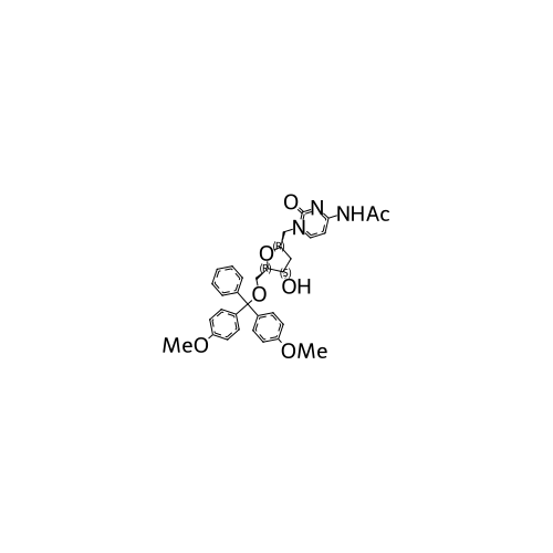 COc1ccc(C(OC[C@H]2O[C@@H](Cn3ccc(NC(C)=O)nc3=O)C[C@@H]2O)(c2ccccc2)c2ccc(OC)cc2)cc1